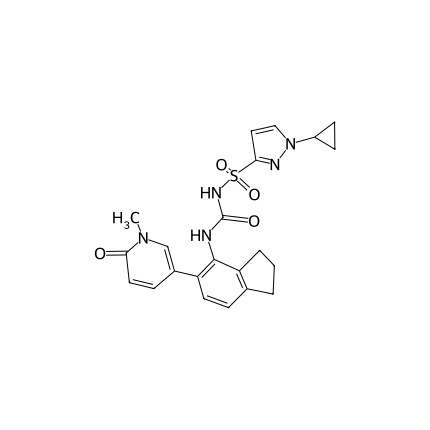 Cn1cc(-c2ccc3c(c2NC(=O)NS(=O)(=O)c2ccn(C4CC4)n2)CCC3)ccc1=O